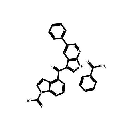 NC(=O)c1ccccc1.O=C(c1c[nH]c2ncc(-c3ccccc3)cc12)c1cccc2c1ccn2C(=O)O